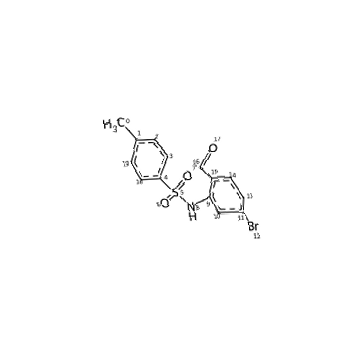 Cc1ccc(S(=O)(=O)Nc2cc(Br)ccc2C=O)cc1